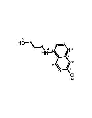 OCCCNc1ccnc2cc(Cl)ccc12